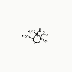 CC1CCC(C)(C=O)C1(C)C